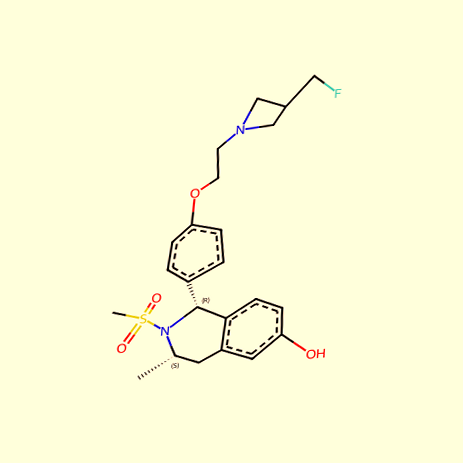 C[C@H]1Cc2cc(O)ccc2[C@@H](c2ccc(OCCN3CC(CF)C3)cc2)N1S(C)(=O)=O